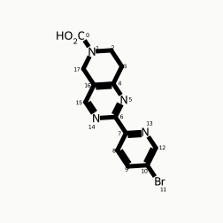 O=C(O)N1CCc2nc(-c3ccc(Br)cn3)ncc2C1